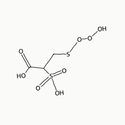 O=C(O)C(CSOOO)S(=O)(=O)O